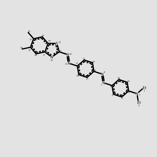 CCN(CC)c1ccc(/N=N/c2ccc(/N=N/c3nc4cc(C)c(C)cc4s3)cc2)cc1